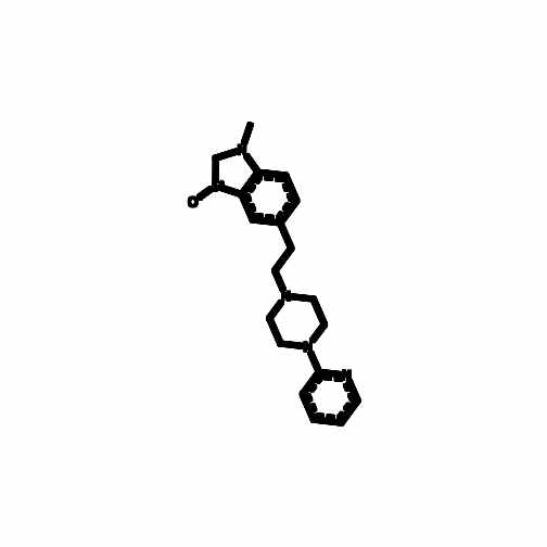 CN1C[S+]([O-])c2cc(CCN3CCN(c4ccccn4)CC3)ccc21